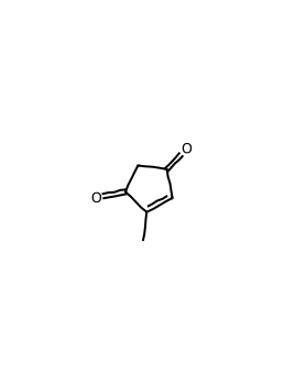 CC1=CC(=O)CC1=O